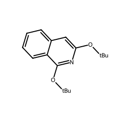 CC(C)(C)Oc1cc2ccccc2c(OC(C)(C)C)n1